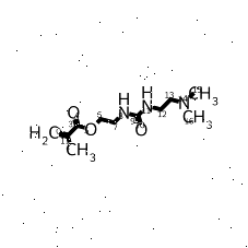 C=C(C)C(=O)OCCNC(=O)NCCN(C)C